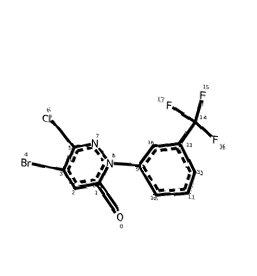 O=c1cc(Br)c(Cl)nn1-c1cccc(C(F)(F)F)c1